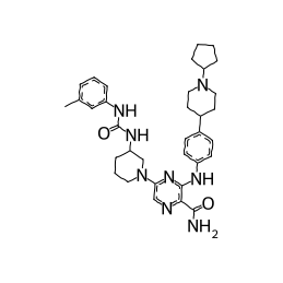 Cc1cccc(NC(=O)NC2CCCN(c3cnc(C(N)=O)c(Nc4ccc(C5CCN(C6CCCC6)CC5)cc4)n3)C2)c1